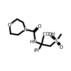 CC(C)C(CS(C)(=O)=O)(NC(=O)N1CCOCC1)C(=O)O